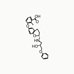 Cc1c(Oc2ccc3c(c2)CC[C@H](CNC[C@H](O)COc2ccccc2)O3)cccc1C(=O)O